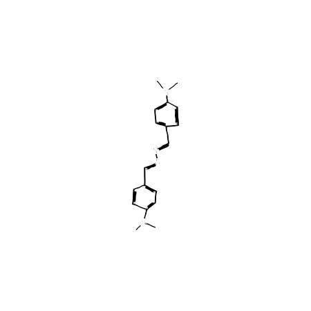 CN(C)c1ccc(/C=N/N=C/c2ccc(N(C)C)cc2)cc1